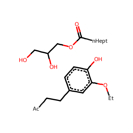 CCCCCCCC(=O)OCC(O)CO.CCOc1cc(CCC(C)=O)ccc1O